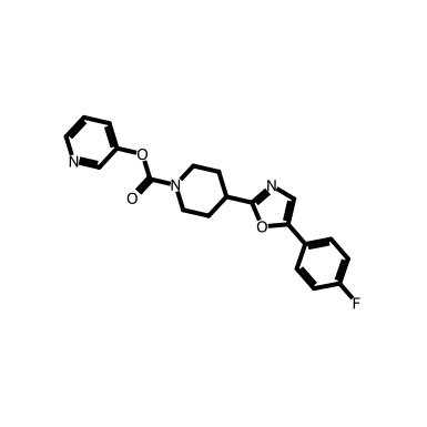 O=C(Oc1cccnc1)N1CCC(c2ncc(-c3ccc(F)cc3)o2)CC1